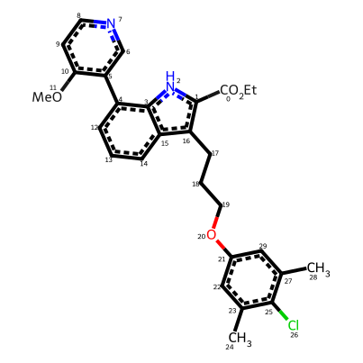 CCOC(=O)c1[nH]c2c(-c3cnccc3OC)cccc2c1CCCOc1cc(C)c(Cl)c(C)c1